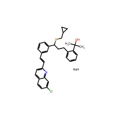 CC(C)(O)c1ccccc1CCC(SCC1CC1)c1cccc(/C=C/c2ccc3ccc(Cl)cc3n2)c1.[NaH]